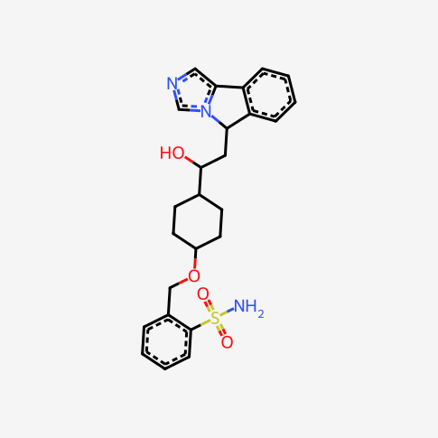 NS(=O)(=O)c1ccccc1COC1CCC(C(O)CC2c3ccccc3-c3cncn32)CC1